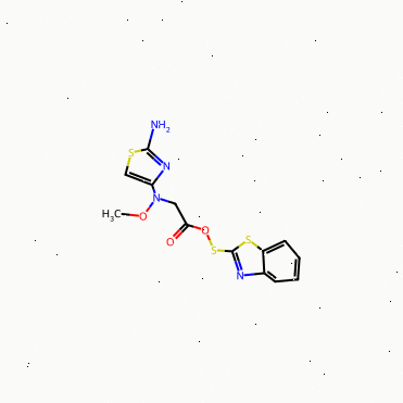 CON(CC(=O)OSc1nc2ccccc2s1)c1csc(N)n1